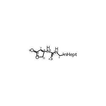 CCCCCCCCNC(=S)NC1=CC(=O)OC1